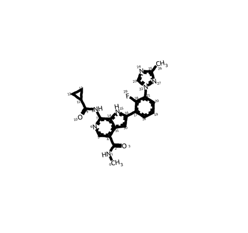 CNC(=O)c1cnc(NC(=O)C2CC2)c2[nH]c(-c3cccc(-n4cnc(C)n4)c3F)cc12